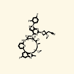 CO[C@H]1CN(C)C(=O)[C@@H]2C[C@@H](CN2c2nc(N3CC(CC#N)(OC)C3)nc3c2cnn3-c2ccc(F)cc2F)Nc2cccc(n2)-c2cc(F)cc3nc(C)n(c23)C1